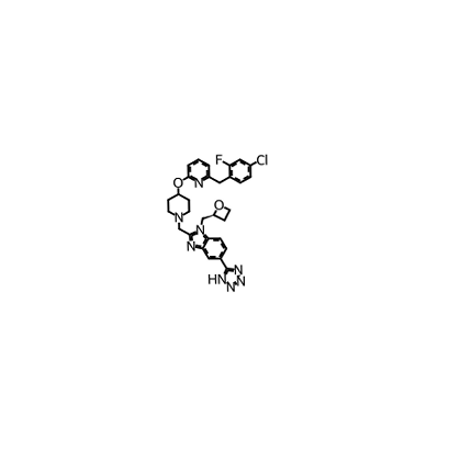 Fc1cc(Cl)ccc1Cc1cccc(OC2CCN(Cc3nc4cc(-c5nnn[nH]5)ccc4n3C[C@@H]3CCO3)CC2)n1